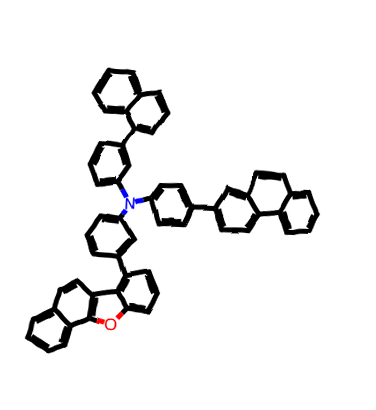 c1cc(-c2cccc3ccccc23)cc(N(c2ccc(-c3ccc4c(ccc5ccccc54)c3)cc2)c2cccc(-c3cccc4oc5c6ccccc6ccc5c34)c2)c1